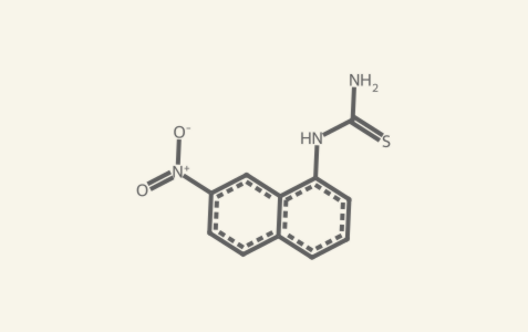 NC(=S)Nc1cccc2ccc([N+](=O)[O-])cc12